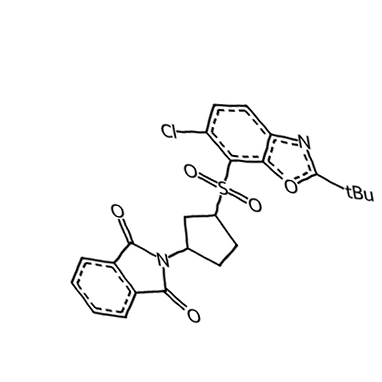 CC(C)(C)c1nc2ccc(Cl)c(S(=O)(=O)C3CCC(N4C(=O)c5ccccc5C4=O)C3)c2o1